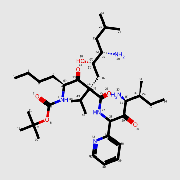 CCCC[C@H](NC(=O)OC(C)(C)C)C(=O)[C@@](C[C@H](O)[C@@H](N)CC(C)C)(C(=O)NC(C(=O)[C@@H](N)[C@@H](C)CC)c1ccccn1)C(C)C